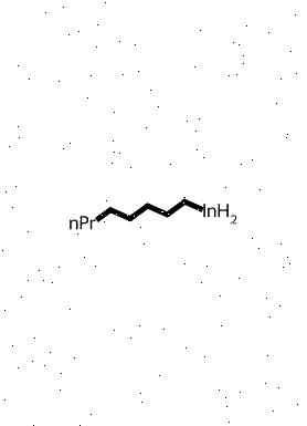 CCCCCCC[CH][InH2]